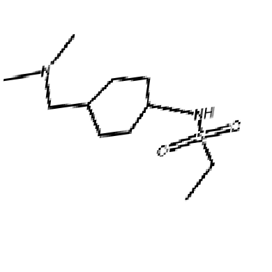 CCS(=O)(=O)NC1CCC(CN(C)C)CC1